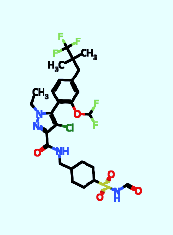 CCn1nc(C(=O)NCC2CCC(S(=O)(=O)NC=O)CC2)c(Cl)c1-c1ccc(CC(C)(C)C(F)(F)F)cc1OC(F)F